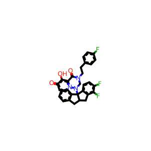 O=C1c2c(O)c(=O)ccn2N(C23c4ccccc4CC2Cc2c3ccc(F)c2F)CN1CCc1ccc(F)cc1